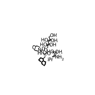 CC(C)C[C@H](N)B(O)O.O=C(OC[C@@H](O)[C@@H](O)[C@H](O)[C@H](O)CO)[C@H](Cc1cccc2ccccc12)NC(=O)N1CCOCC1